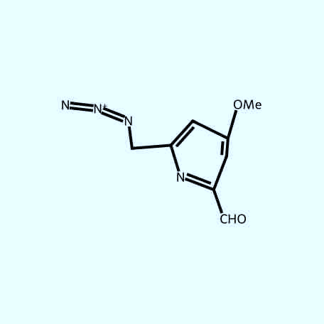 COc1cc(C=O)nc(CN=[N+]=[N-])c1